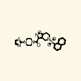 O=C(c1noc2c1CN(S(=O)(=O)c1cccc3ccccc13)CC2)N1CCN(c2nccs2)CC1